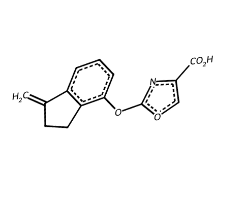 C=C1CCc2c(Oc3nc(C(=O)O)co3)cccc21